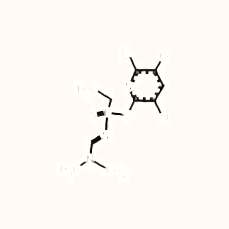 CCP(=S)(N=CN(C)C)Oc1nc(Cl)c(Cl)cc1Cl